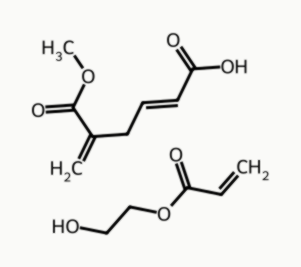 C=C(CC=CC(=O)O)C(=O)OC.C=CC(=O)OCCO